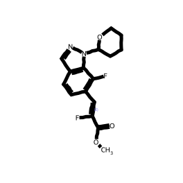 COC(=O)/C(F)=C/c1ccc2cnn(C3CCCCO3)c2c1F